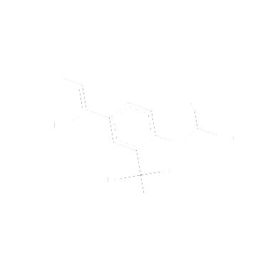 C/C=C(\C)c1ccc(OC(CCCC)C(=O)O)c(C(C)(C)CC)c1